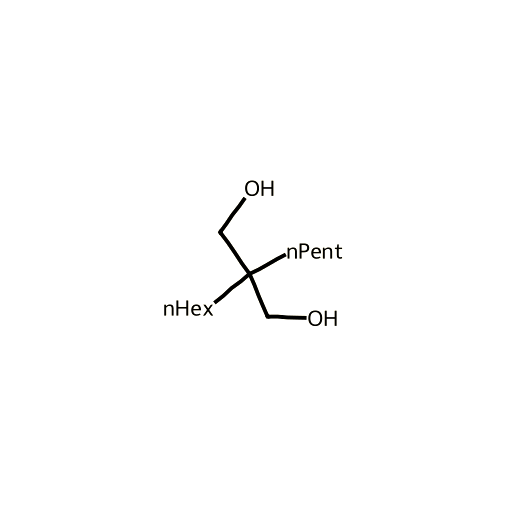 CCCCCCC(CO)(CO)CCCCC